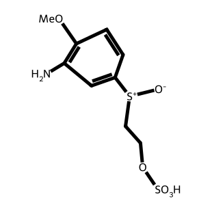 COc1ccc([S+]([O-])CCOS(=O)(=O)O)cc1N